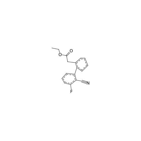 CCOC(=O)Cc1ccccc1-c1cccc(F)c1C#N